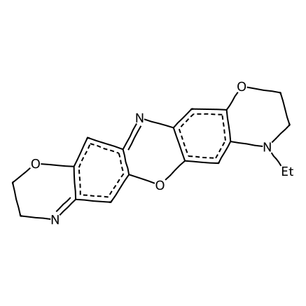 CCN1CCOc2cc3c(cc21)Oc1cc2c(cc1=N3)OCCN=2